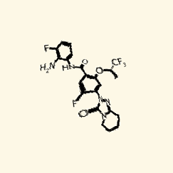 C[C@H](Oc1cc(-n2nc3n(c2=O)CCCC3)c(F)cc1C(=O)Nc1cccc(F)c1N)C(F)(F)F